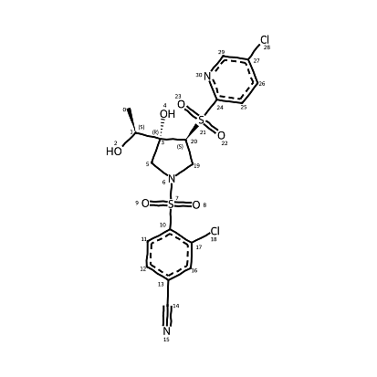 C[C@H](O)[C@]1(O)CN(S(=O)(=O)c2ccc(C#N)cc2Cl)C[C@@H]1S(=O)(=O)c1ccc(Cl)cn1